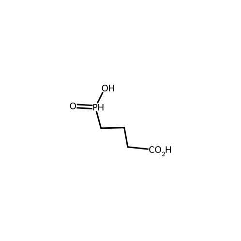 O=C(O)CCC[PH](=O)O